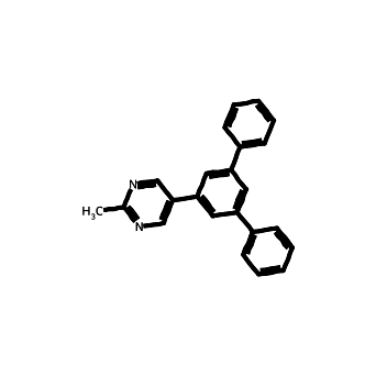 Cc1ncc(-c2cc(-c3ccccc3)cc(-c3ccccc3)c2)cn1